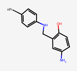 CCCc1ccc(NCc2cc(N)ccc2O)cc1